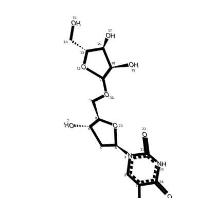 Cc1cn([C@H]2C[C@H](O)[C@@H](COC3O[C@H](CO)[C@@H](O)[C@H]3O)O2)c(=O)[nH]c1=O